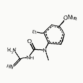 CCc1cc(OC)ccc1N(C)C(=O)NC(=N)N